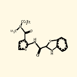 CCOC(=O)N(C)C(=O)c1ccsc1NC(=O)C1Nc2ccccc2S1